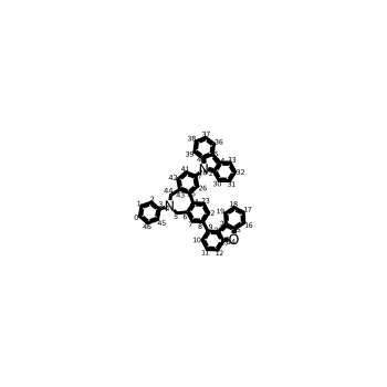 c1ccc(N2Cc3cc(-c4cccc5oc6ccccc6c45)ccc3-c3cc(-n4c5ccccc5c5ccccc54)ccc3C2)cc1